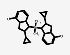 C[Si](C)(C1C2C=CC=C(Cl)C2CC1C1CC1)C1C2C=CC=C(Cl)C2CC1C1CC1